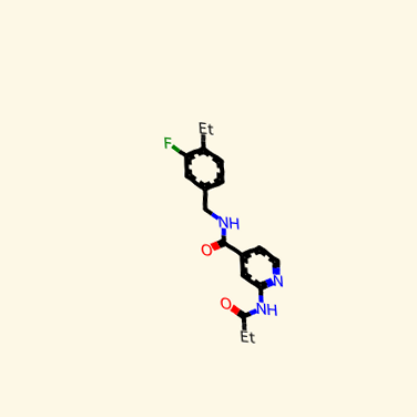 CCC(=O)Nc1cc(C(=O)NCc2ccc(CC)c(F)c2)ccn1